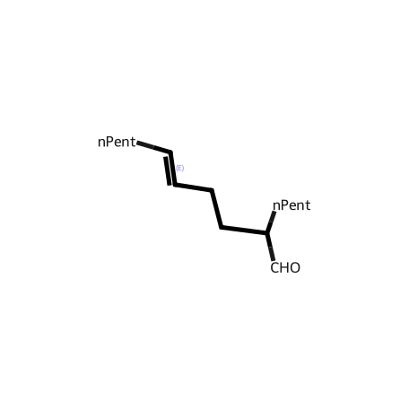 CCCCC/C=C/CCC(C=O)CCCCC